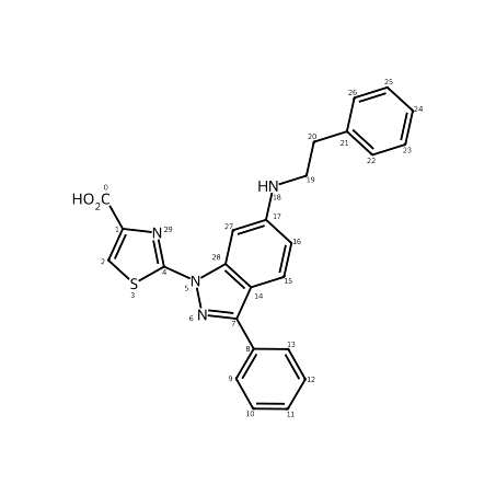 O=C(O)c1csc(-n2nc(-c3ccccc3)c3ccc(NCCc4ccccc4)cc32)n1